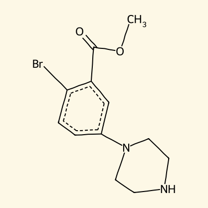 COC(=O)c1cc(N2CCNCC2)ccc1Br